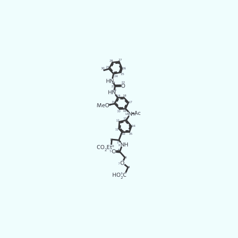 CCOC(=O)CC(NC(=O)COCC(=O)O)c1ccc(N(C(C)=O)c2ccc(NC(=O)Nc3ccccc3C)c(OC)c2)cc1